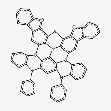 c1ccc(N2c3ccccc3B3c4cc5c(oc6ccccc65)c5c4N4c6c3c2cc2c6B(c3ccccc3N2c2ccccc2)c2cc3c(oc6ccccc63)c(c24)S5)cc1